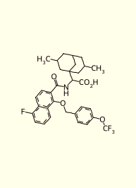 CC1CC2CC(C)CC(C(NC(=O)c3ccc4c(F)cccc4c3OCc3ccc(OC(F)(F)F)cc3)C(=O)O)(C1)C2